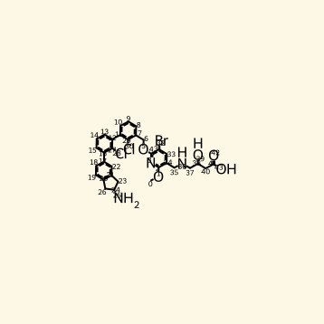 COc1nc(OCc2cccc(-c3cccc(-c4ccc5c(c4)C[C@@H](N)C5)c3Cl)c2Cl)c(Br)cc1CNCC(O)CC(=O)O